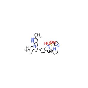 Cc1cc2cc(C(CC(=O)O)c3ccc(C)c(CN4C[C@@H]5CCCCN5c5ncccc5S4(O)O)c3)n(C)c2nn1